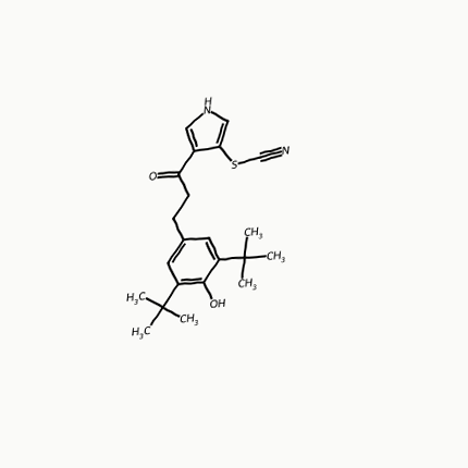 CC(C)(C)c1cc(CCC(=O)c2c[nH]cc2SC#N)cc(C(C)(C)C)c1O